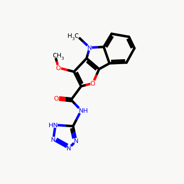 COc1c(C(=O)Nc2nnn[nH]2)oc2c3ccccc3n(C)c12